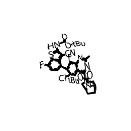 Cc1nc(N2CC3CCC(C2)N3C(=O)OC(C)(C)C)c2cc(Cl)c(-c3ccc(F)c4sc(NC(=O)OC(C)(C)C)c(C#N)c34)c(F)c2n1